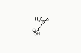 CN(CCCCCC(=O)O)C1CC1